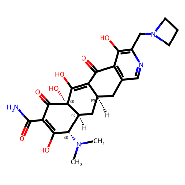 CN(C)[C@@H]1C(O)=C(C(N)=O)C(=O)[C@@]2(O)C(O)=C3C(=O)c4c(cnc(CN5CCC5)c4O)C[C@H]3C[C@@H]12